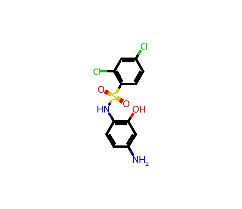 Nc1ccc(NS(=O)(=O)c2ccc(Cl)cc2Cl)c(O)c1